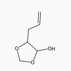 C=CCC1OCOC1O